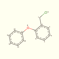 ClCc1ccccc1Oc1[c]cccc1